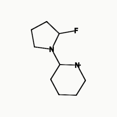 FC1CCCN1C1CCCC[N]1